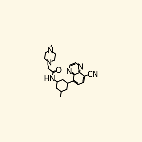 CC1CC(NC(=O)CN2CCN(C)CC2)CC(c2ccc(C#N)c3nccnc23)C1